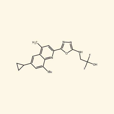 Cc1cc(-c2nnc(NCC(O)(F)F)o2)nc2c(C(C)(C)C)cc(C3CC3)cc12